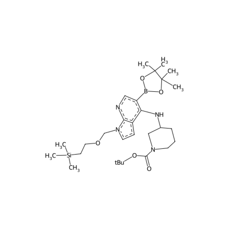 CC(C)(C)OC(=O)N1CCCC(Nc2c(B3OC(C)(C)C(C)(C)O3)cnc3c2ccn3COCC[Si](C)(C)C)C1